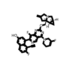 C#Cc1c(F)ccc2cc(O)cc(-c3ncc4c(N5CCC=C(F)C5)nc(OC[C@@]56CC(=C)CN5C[C@H]5C[C@H]56)nc4c3F)c12